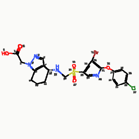 O=C(O)Cn1ncc2c1CCC[C@H]2NCS(=O)(=O)c1cnc(Oc2ccc(Cl)cc2)c(Br)c1